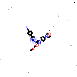 CCOCCOc1nn(C2CCC(N3CCOCC3)CC2)cc1Nc1ncc(-c2ccc(C#N)cc2)cn1